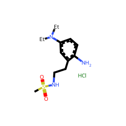 CCN(CC)c1ccc(N)c(CCNS(C)(=O)=O)c1.Cl